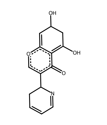 O=c1c(C2CC=CC=N2)coc2c1=C(O)CC(O)C=2